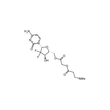 CNCCC(=O)OCC(=O)OC[C@H]1O[C@@H](n2ccc(N)nc2=O)C(F)(F)[C@@H]1O